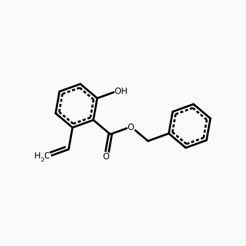 C=Cc1cccc(O)c1C(=O)OCc1ccccc1